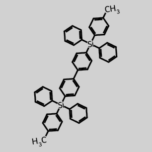 Cc1ccc([Si](c2ccccc2)(c2ccccc2)c2ccc(-c3ccc([Si](c4ccccc4)(c4ccccc4)c4ccc(C)cc4)cc3)cc2)cc1